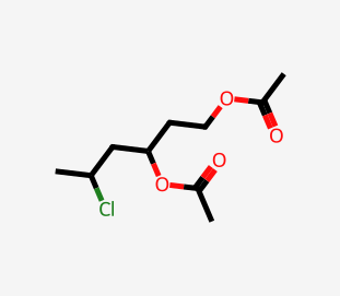 CC(=O)OCCC(CC(C)Cl)OC(C)=O